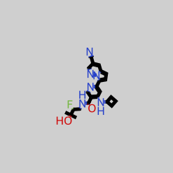 CC(C)(O)C(F)CNC(=O)c1cnc(-c2ccc3cc(C#N)cnn23)cc1NC1CCC1